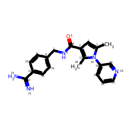 Cc1cc(C(=O)NCc2ccc(C(=N)N)cc2)c(C)n1-c1cccnc1